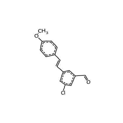 COc1ccc(/C=C/c2cc(Cl)cc(C=O)c2)cc1